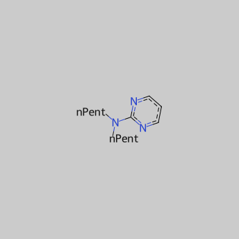 CCCCCN(CCCCC)c1ncccn1